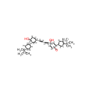 CC(C)(C)c1ccc(C2=CC(O)(C#CC#Cc3ccc(O)c(-c4ccc(C(C)(C)C)cc4)c3)C=CC2=O)cc1